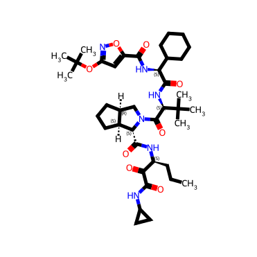 CCC[C@H](NC(=O)[C@@H]1[C@H]2CCC[C@H]2CN1C(=O)[C@@H](NC(=O)[C@@H](NC(=O)c1cc(OC(C)(C)C)no1)C1CCCCC1)C(C)(C)C)C(=O)C(=O)NC1CC1